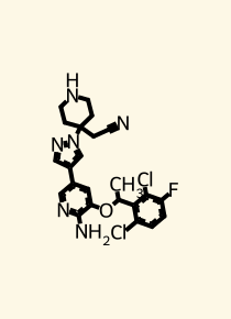 CC(Oc1cc(-c2cnn(C3(CC#N)CCNCC3)c2)cnc1N)c1c(Cl)ccc(F)c1Cl